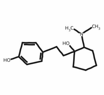 CN(C)C1CCCCC1(O)CCc1ccc(O)cc1